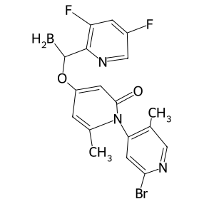 BC(Oc1cc(C)n(-c2cc(Br)ncc2C)c(=O)c1)c1ncc(F)cc1F